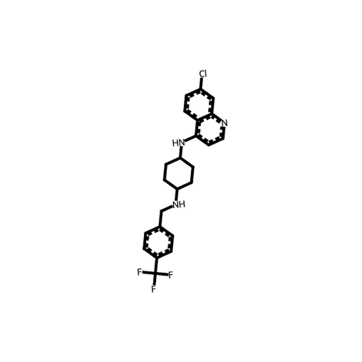 FC(F)(F)c1ccc(CNC2CCC(Nc3ccnc4cc(Cl)ccc34)CC2)cc1